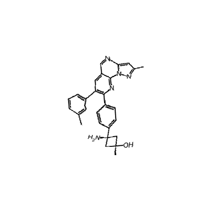 Cc1cccc(-c2cc3cnc4cc(C)nn4c3nc2-c2ccc([C@]3(N)C[C@](C)(O)C3)cc2)c1